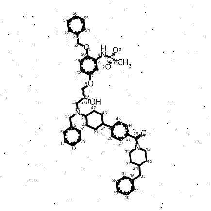 CS(=O)(=O)Nc1cc(OC[C@@H](O)CN(Cc2ccccc2)C2CCC(c3ccc(C(=O)N4CCC(Cc5ccccc5)CC4)cc3)CC2)ccc1OCc1ccccc1